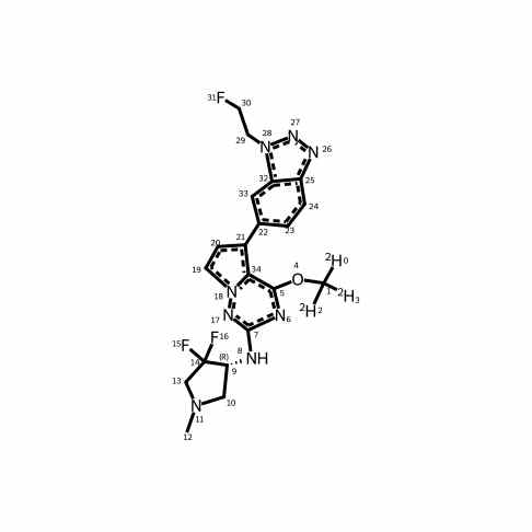 [2H]C([2H])([2H])Oc1nc(N[C@@H]2CN(C)CC2(F)F)nn2ccc(-c3ccc4nnn(CCF)c4c3)c12